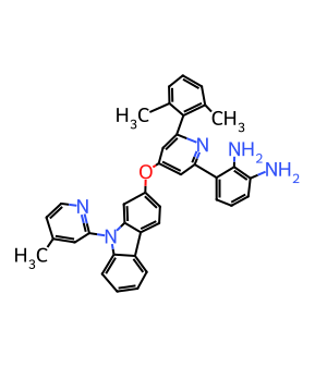 Cc1ccnc(-n2c3ccccc3c3ccc(Oc4cc(-c5cccc(N)c5N)nc(-c5c(C)cccc5C)c4)cc32)c1